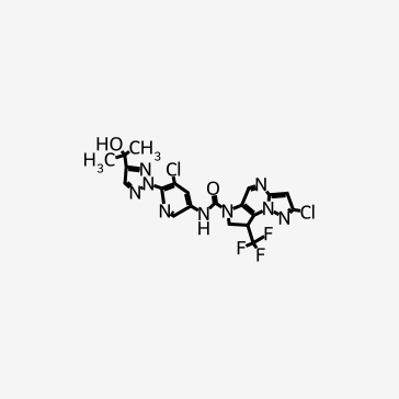 CC(C)(O)c1cnn(-c2ncc(NC(=O)N3CC(C(F)(F)F)c4c3cnc3cc(Cl)nn43)cc2Cl)n1